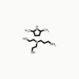 CC1CCC(C)N1.NCCCN(CCO)CCO